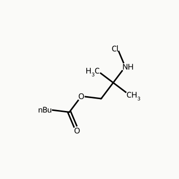 CCCCC(=O)OCC(C)(C)NCl